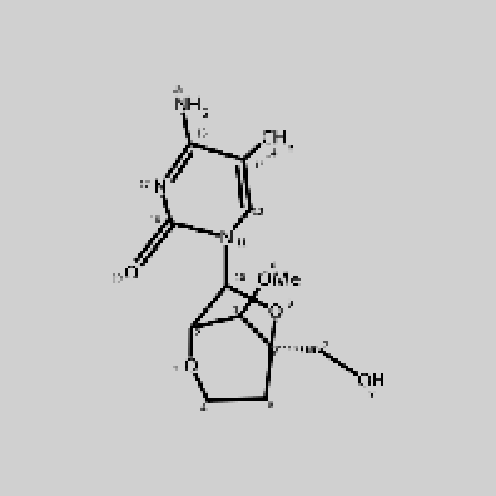 COC1C2OCC[C@]1(CO)OC2n1cc(C)c(N)nc1=O